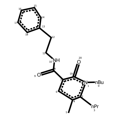 CCCCn1c(CCC)c(C)cc(C(=O)NCCc2ccccc2)c1=O